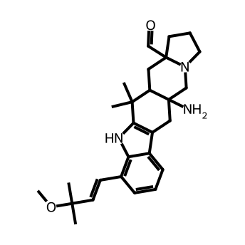 COC(C)(C)/C=C/c1cccc2c3c([nH]c12)C(C)(C)C1CC2(C=O)CCCN2CC1(N)C3